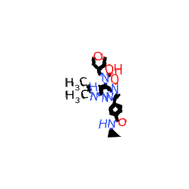 CCC(C)Nc1cc(N(CC2CCOCC2)C(=O)O)c2ncc(-c3ccc(C(=O)NC4CC4)cc3)n2n1